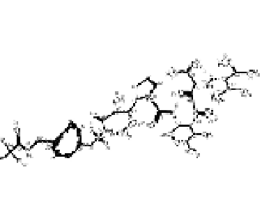 CC[C@H](C)[C@@H]([C@@H](CC(=O)N1CCC[C@H]1[C@H](OC)[C@@H](C)C(=O)NS(=O)(=O)Cc1ccc(CNC(=O)C(F)(F)F)cc1)OC)N(C)C(=O)[C@@H](NC[C@H](C(C)C)N(C)C)C(C)C